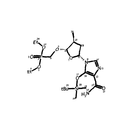 CCOP(=O)(CO[C@H]1O[C@@H](n2cnc(C(N)=O)c2O[Si](C)(C)C(C)(C)C)C[C@@H]1C)OCC